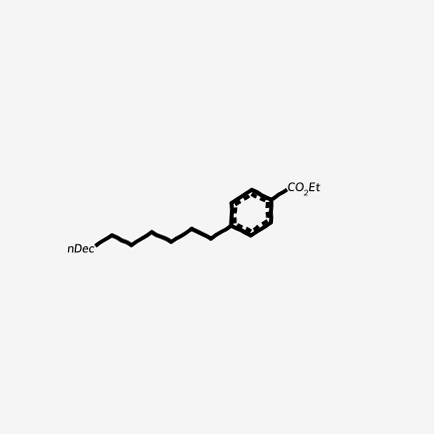 CCCCCCCCCCCCCCCCc1ccc(C(=O)OCC)cc1